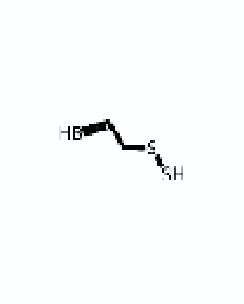 B=CCSS